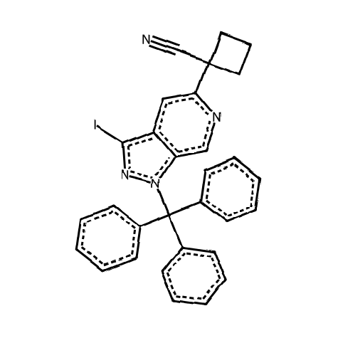 N#CC1(c2cc3c(I)nn(C(c4ccccc4)(c4ccccc4)c4ccccc4)c3cn2)CCC1